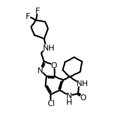 O=C1Nc2c(Cl)cc3nc(CNC4CCC(F)(F)CC4)oc3c2C2(CCCCC2)N1